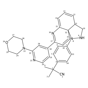 CC(C)(C#N)c1ccc(N2NCC3C=CC=C4N=C(c5ccnc(N6CCOCC6)c5)C=CC432)cc1